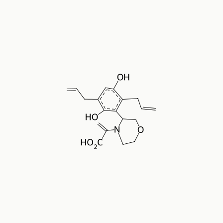 C=CCc1cc(O)c(CC=C)c(C2COCCN2C(=C)C(=O)O)c1O